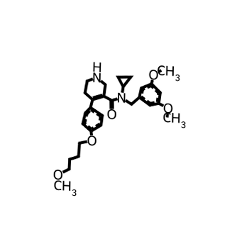 COCCCCOc1ccc(C2=C(C(=O)N(Cc3cc(OC)cc(OC)c3)C3CC3)CNCC2)cc1